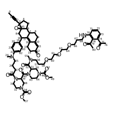 CC#CC12CCC3C4CCC5=CC(=O)CCC5=C4C(c4ccc(N(C)CCCC(=O)N5CCN(C(=O)OC)CC5C(=O)N5CCN(C(=O)OC)CC5C(=O)N(C)CCCOCCOCCOCCCNc5cccc(C(C)=O)c5C(C)=O)cc4)CC31O2